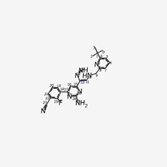 CC(C)(C)c1cccc(CN/C=C(\N=N)c2cc(-c3cccc(C#N)c3F)nc(N)n2)n1